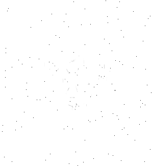 CCOC[C@@H](Nc1nc(Nc2ccc3c(cnn3C)c2)c(C(N)=O)cc1F)[C@H](C)N